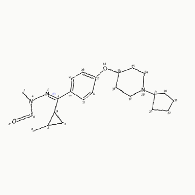 CC1CC1/C(=N\N(C)C=O)c1ccc(OC2CCN(C3CCCC3)CC2)cc1